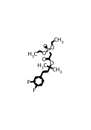 CCOP(=O)(CC(=O)OC(C)(C)/C=C/c1ccc(F)c(F)c1)OCC